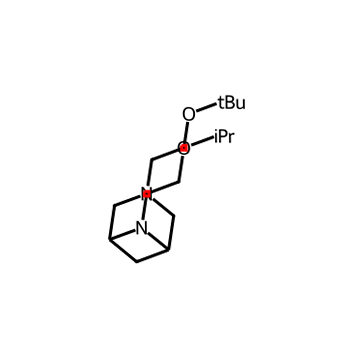 CC(C)OCCN1C2CC1CN(CCOC(C)(C)C)C2